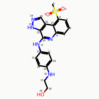 CS(=O)(=O)c1cccc2nc(Nc3ccc(NCCO)cc3)c3[nH]ncc3c12